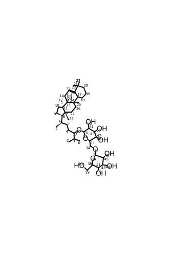 CC(C)C(CC[C@@H](C)[C@H]1CC[C@@]2(C)[C@@H]3CC=C4C(CCCC4(C)C)[C@]3(C)CC[C@]12C)OC1OC(COC2OC(CO)C(O)C(O)C2O)C(O)C(O)C1O